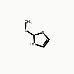 CS[C]1NC=CS1